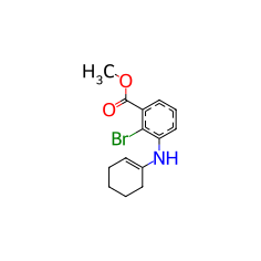 COC(=O)c1cccc(NC2=CCCCC2)c1Br